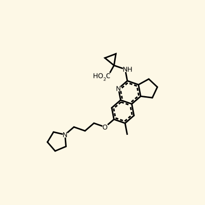 Cc1cc2c3c(c(NC4(C(=O)O)CC4)nc2cc1OCCCN1CCCC1)CCC3